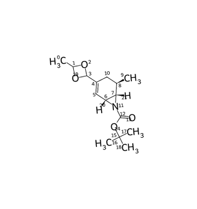 CC1OC(C2=C[C@@H]3[C@H]([C@H](C)C2)N3C(=O)OC(C)(C)C)O1